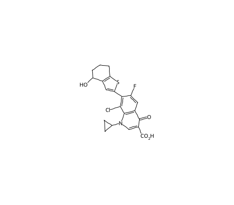 O=C(O)c1cn(C2CC2)c2c(Cl)c(-c3cc4c(s3)CCCC4O)c(F)cc2c1=O